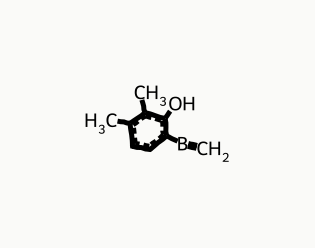 C=Bc1ccc(C)c(C)c1O